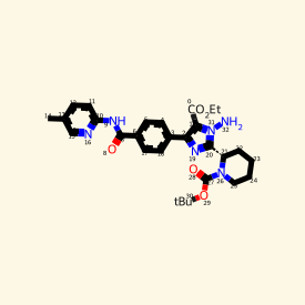 CCOC(=O)c1c(-c2ccc(C(=O)Nc3ccc(C)cn3)cc2)nc([C@@H]2CCCCN2C(=O)OC(C)(C)C)n1N